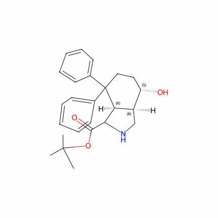 CC(C)(C)OC(=O)C1NC[C@H]2[C@@H]1C(c1ccccc1)(c1ccccc1)CC[C@@H]2O